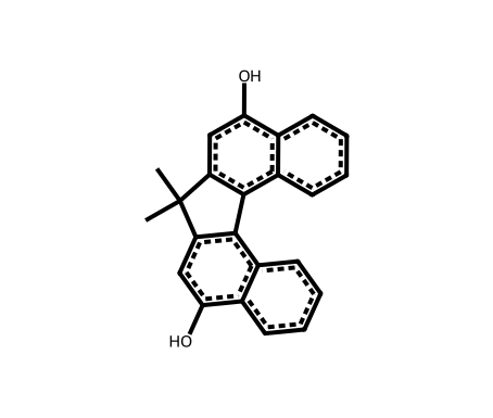 CC1(C)c2cc(O)c3ccccc3c2-c2c1cc(O)c1ccccc21